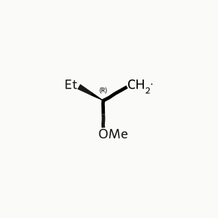 [CH2][C@H](CC)OC